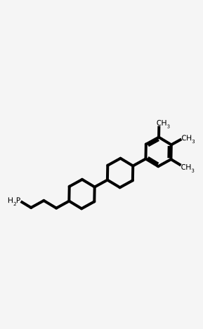 Cc1cc(C2CCC(C3CCC(CCCP)CC3)CC2)cc(C)c1C